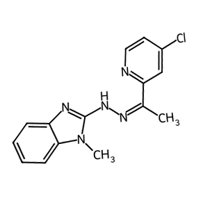 CC(=NNc1nc2ccccc2n1C)c1cc(Cl)ccn1